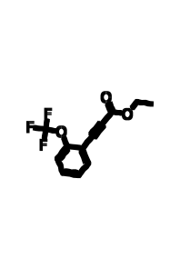 CCOC(=O)C#Cc1ccccc1OC(F)(F)F